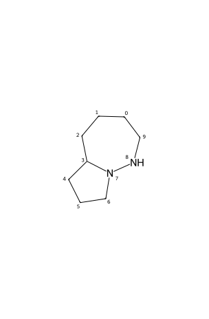 C1CCC2CCCN2NC1